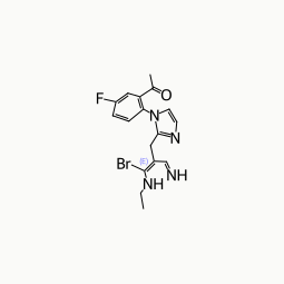 CCN/C(Br)=C(\C=N)Cc1nccn1-c1ccc(F)cc1C(C)=O